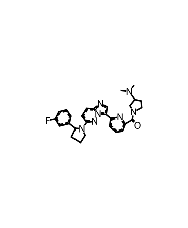 CN(C)C1CCN(C(=O)c2cccc(-c3cnc4ccc(N5CCCC5c5cccc(F)c5)nn34)n2)C1